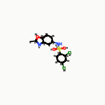 Cc1nc2cc(NS(=O)(=O)c3ccc(Cl)cc3Cl)ccc2o1